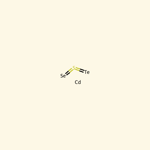 [Cd].[Se]=S=[Te]